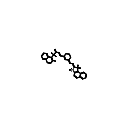 C=C(/C=C/C1=CC(=C/C=C2\N(C)c3ccc4ccccc4c3C2(C)C)/CCC1)C(C)(C)c1c(C)ccc2ccccc12